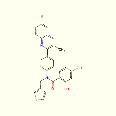 Cc1cc2cc(F)ccc2nc1-c1ccc(N(Cc2ccsc2)C(=O)c2ccc(O)cc2O)cc1